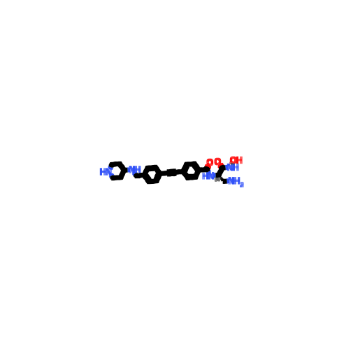 NC[C@H](NC(=O)c1ccc(C#Cc2ccc(CNC3CCNCC3)cc2)cc1)C(=O)NO